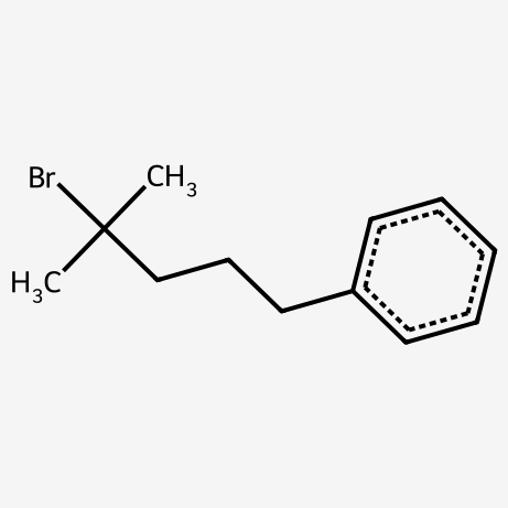 CC(C)(Br)CCCc1ccccc1